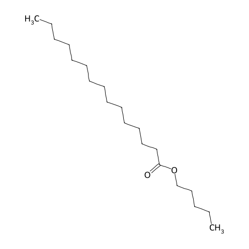 CCCCCCCCCCCCCCC(=O)OCCCCC